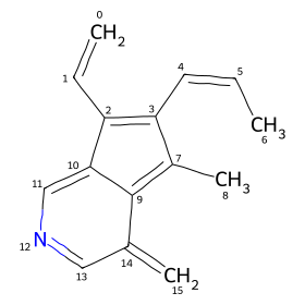 C=CC1=C(/C=C\C)C(C)=c2c1cncc2=C